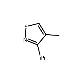 Cc1csnc1C(C)C